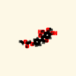 CCOC(=O)COc1ccc(-c2coc3cc(O)c(OC)c(O)c3c2=O)cc1